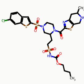 CCCCOC(=O)NS(=O)(=O)CCC1CN(S(=O)(=O)c2cc3ccc(Cl)cc3s2)CCN1C(=O)c1nc2c(s1)CNC(C)C2